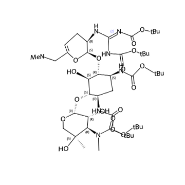 CNCC1=CC[C@@H](N/C(=N/C(=O)OC(C)(C)C)NC(=O)OC(C)(C)C)[C@@H](O[C@H]2[C@H](O)[C@@H](O[C@H]3OC[C@](C)(O)[C@H](N(C)C(=O)OC(C)(C)C)[C@H]3O)[C@H](NC(=O)OC(C)(C)C)C[C@@H]2NC(=O)OC(C)(C)C)O1